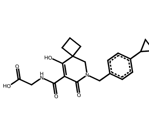 O=C(O)CNC(=O)C1=C(O)C2(CCC2)CN(Cc2ccc(C3CC3)cc2)C1=O